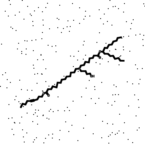 CCCCC#CCCCOC(=O)CCCCCCCCCCCCCN(CCCCO)CCCCCCCC(=O)OC(CCCCCCCC)CCCCCCCC